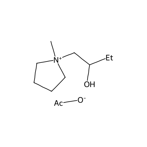 CC(=O)[O-].CCC(O)C[N+]1(C)CCCC1